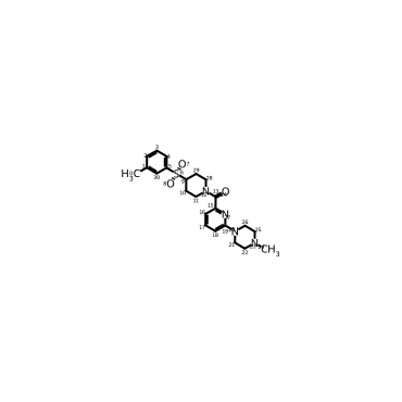 Cc1cccc(S(=O)(=O)C2CCN(C(=O)c3cccc(N4CCN(C)CC4)n3)CC2)c1